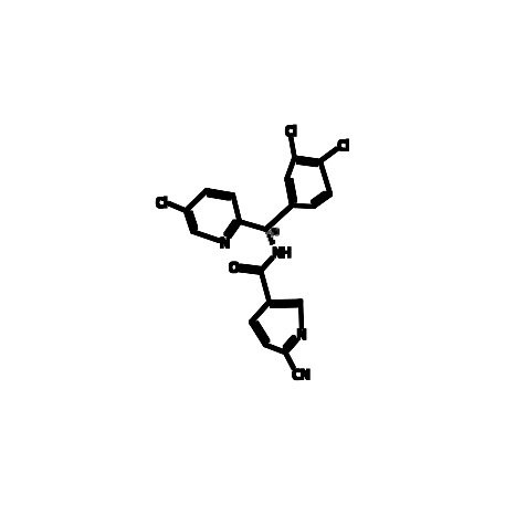 N#Cc1ccc(C(=O)N[C@@H](c2ccc(Cl)c(Cl)c2)c2ccc(Cl)cn2)cn1